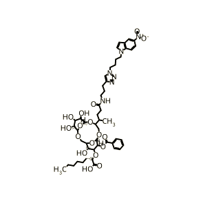 CCCCCC[C@H](OC1C(OC(=O)c2ccccc2)[C@@H]2OCC(C(C)CCC(=O)NCCCc3cn(CCCCn4ccc5cc([N+](=O)[O-])ccc54)nn3)O[C@@H]3OC(OCC(O2)[C@@H]1O)[C@@H](O)C(O)C3O)C(=O)O